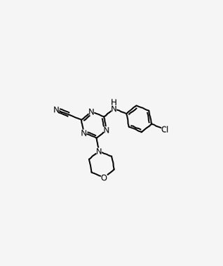 N#Cc1nc(Nc2ccc(Cl)cc2)nc(N2CCOCC2)n1